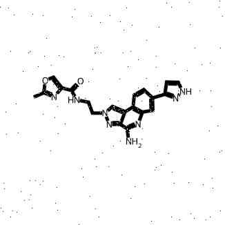 Cc1nc(C(=O)NCCn2cc3c(n2)c(N)nc2cc(-c4cc[nH]n4)ccc23)co1